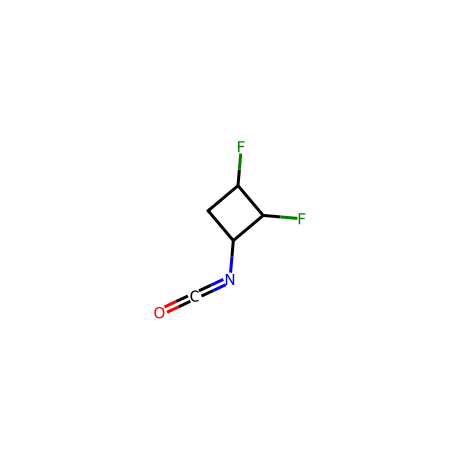 O=C=NC1CC(F)C1F